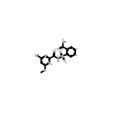 COc1cc(Cl)nc(C(=O)NS(=O)(=O)c2ccccc2C(=O)O)n1